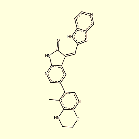 Cc1c(-c2cnc3c(c2)/C(=C/c2cc4cnccc4[nH]2)C(=O)N3)cnc2c1NCCO2